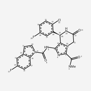 CNC(=O)c1nc(NC(=O)n2ccc3cc(F)ccc32)c2n1CC(=O)N[C@@H]2c1cc(F)ccc1Cl